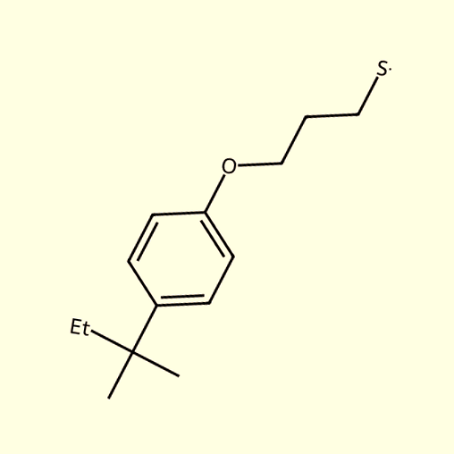 CCC(C)(C)c1ccc(OCCC[S])cc1